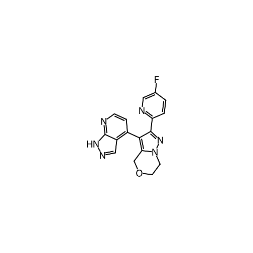 Fc1ccc(-c2nn3c(c2-c2ccnc4[nH]ncc24)COCC3)nc1